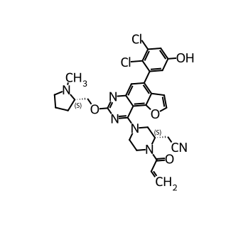 C=CC(=O)N1CCN(c2nc(OC[C@@H]3CCCN3C)nc3cc(-c4cc(O)cc(Cl)c4Cl)c4ccoc4c23)C[C@@H]1CC#N